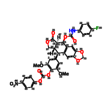 COc1cc([C@@H]2c3cc4c(cc3[C@H](OC(=O)Nc3ccc(F)cc3)[C@@H]3C(=O)OC[C@@H]23)OCO4)cc(OC)c1OC(=O)Oc1ccc([N+](=O)[O-])cc1